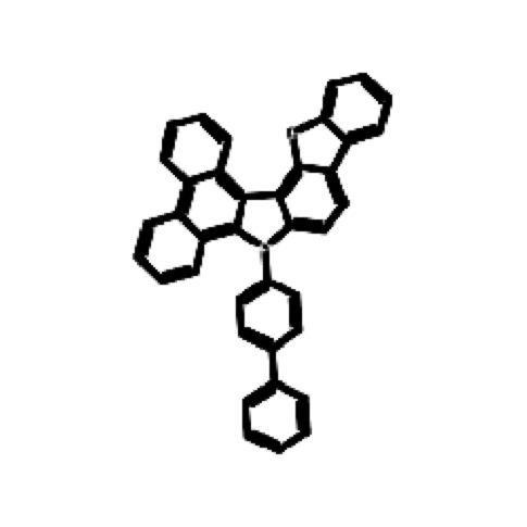 c1ccc(-c2ccc(-n3c4ccc5c6ccccc6oc5c4c4c5ccccc5c5ccccc5c43)cc2)cc1